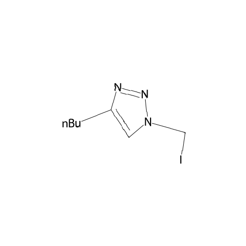 CCCCc1cn(CI)nn1